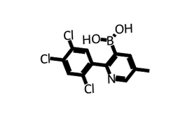 Cc1cnc(-c2cc(Cl)c(Cl)cc2Cl)c(B(O)O)c1